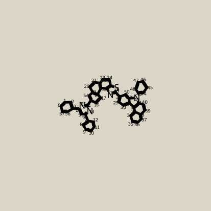 c1ccc(-c2cc(-c3ccccc3)nc(-c3ccc4c(ccc5ccc6sc(-c7ccc8c9c%10ccccc%10ccc9n(-c9ccccc9)c8c7)nc6c54)c3)n2)cc1